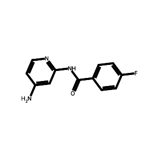 Nc1ccnc(NC(=O)c2ccc(F)cc2)c1